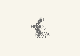 CCN1CCN(c2ccc(Nc3ccc4c(ccn4Cc4c(F)c(OC)cc(OC)c4F)n3)c([N+](=O)[O-])c2)CC1